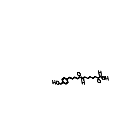 O=C(/C=C/C=C/c1ccc(CO)cc1)NCCCCCC(=O)NO